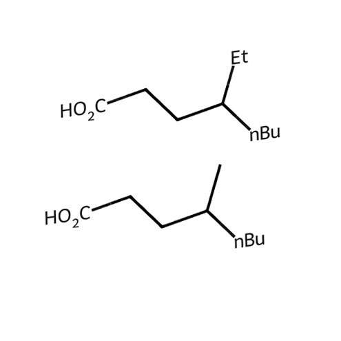 CCCCC(C)CCC(=O)O.CCCCC(CC)CCC(=O)O